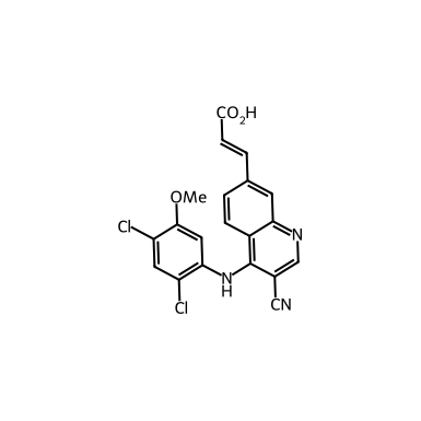 COc1cc(Nc2c(C#N)cnc3cc(/C=C/C(=O)O)ccc23)c(Cl)cc1Cl